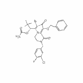 CC(C)(C)C(OC(N)=O)c1c(Br)c(=O)c(OCc2ccccc2)c2n1CCN(Cc1ccc(F)c(Cl)c1)C2=O